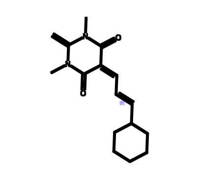 C=c1n(C)c(=O)c(=C/C=C/C2CCCCC2)c(=O)n1C